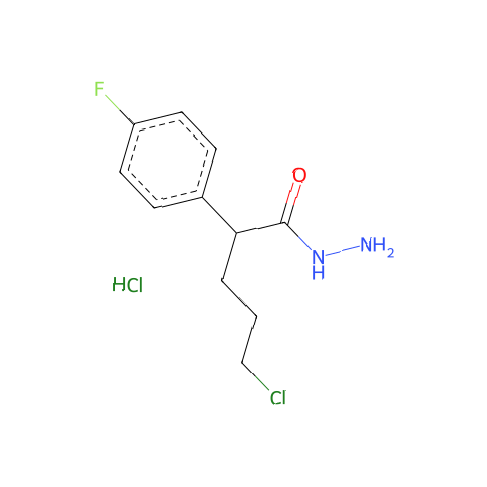 Cl.NNC(=O)C(CCCCl)c1ccc(F)cc1